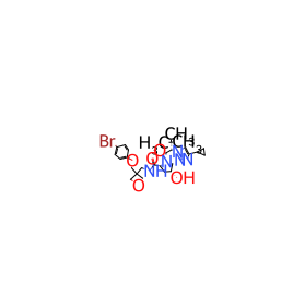 CC(C)(C)[C@@H](C(=O)N1C[C@H](O)C[C@H]1C(=O)NCC1(COc2ccc(Br)cc2)COC1)n1cc(C2CC2)nn1